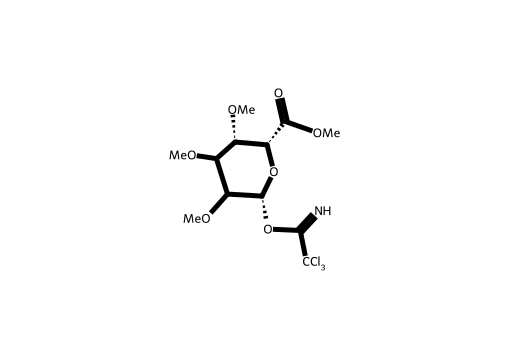 COC(=O)[C@@H]1O[C@H](OC(=N)C(Cl)(Cl)Cl)C(OC)C(OC)[C@@H]1OC